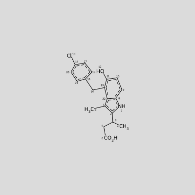 Cc1c(C(C)CC(=O)O)[nH]c2ccc(O)c(Cc3ccc(Cl)cc3)c12